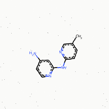 Cc1ccc(Nc2cc(N)ccn2)nc1